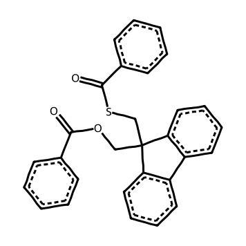 O=C(OCC1(CSC(=O)c2ccccc2)c2ccccc2-c2ccccc21)c1ccccc1